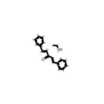 CCO.O=C(C=Cc1ccccc1)C=Cc1ccccc1